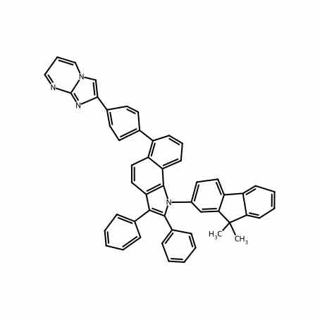 CC1(C)c2ccccc2-c2ccc(-n3c(-c4ccccc4)c(-c4ccccc4)c4ccc5c(-c6ccc(-c7cn8cccnc8n7)cc6)cccc5c43)cc21